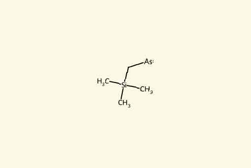 C[Si](C)(C)C[As]